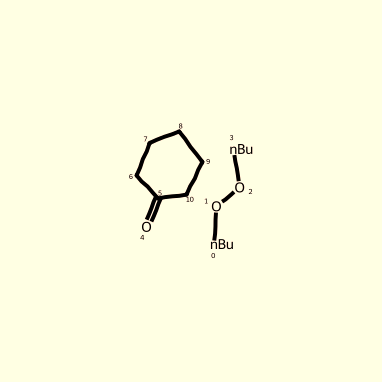 CCCCOOCCCC.O=C1CCCCC1